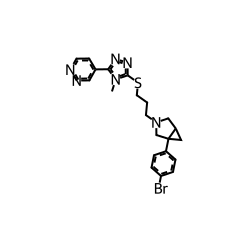 Cn1c(SCCCN2CC3CC3(c3ccc(Br)cc3)C2)nnc1-c1ccnnc1